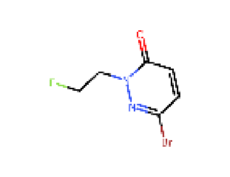 O=c1ccc(Br)nn1CCF